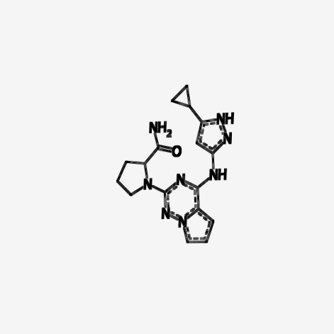 NC(=O)C1CCCN1c1nc(Nc2cc(C3CC3)[nH]n2)c2cccn2n1